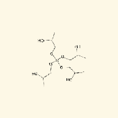 CC(O)CO[Si](OCC(C)O)(OCC(C)O)OCC(C)O